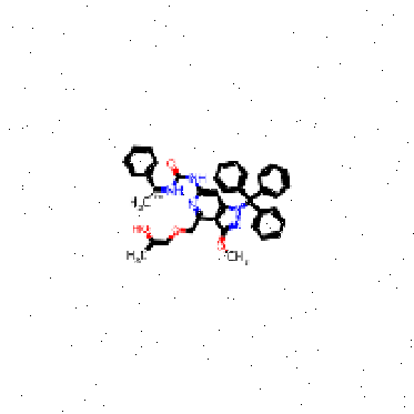 COc1nn(C(c2ccccc2)(c2ccccc2)c2ccccc2)c2cc(NC(=O)N[C@H](C)c3ccccc3)nc(COCC(C)O)c12